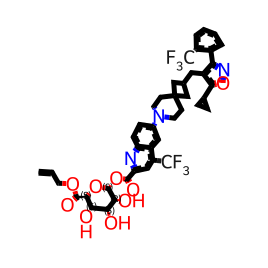 C=CCOC(=O)[C@H]1O[C@@H](OC(=O)c2cc(C(F)(F)F)c3cc(N4CCC5(CC4)CC(Cc4c(-c6ccccc6C(F)(F)F)noc4C4CC4)C5)ccc3n2)[C@H](O)[C@@H](O)[C@@H]1O